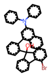 OC1(c2ccccc2-c2cc(N(c3ccccc3)c3ccccc3)cc3ccccc23)c2ccccc2-c2c(Br)cccc21